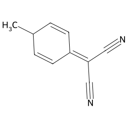 CC1C=CC(=C(C#N)C#N)C=C1